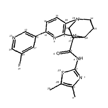 Cc1nc(NC(=O)N2c3nc(-c4cncc(F)c4)ccc3N3CCC2CC3)sc1C